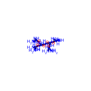 N=NNCCN(CCN)CCC(=O)NCCN(CCNC(=O)CCN(CCN)CCNN)CCC(=O)NCCNC(=O)CCN(CCNNC(=O)CCN(CCN)CCNN)CCNC(=O)CCN(CCN)CCNN